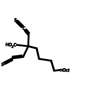 CCCCCCCCCCCCC(C=C=S)(C=C=S)C(=O)O